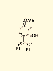 CCOC(OCC)c1ccc(OC)cc1O